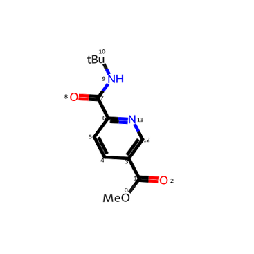 COC(=O)c1ccc(C(=O)NC(C)(C)C)nc1